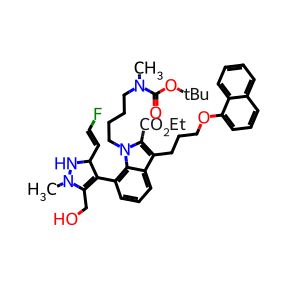 CCOC(=O)c1c(CCCOc2cccc3ccccc23)c2cccc(C3=C(CO)N(C)NC3/C=C/F)c2n1CCCCN(C)C(=O)OC(C)(C)C